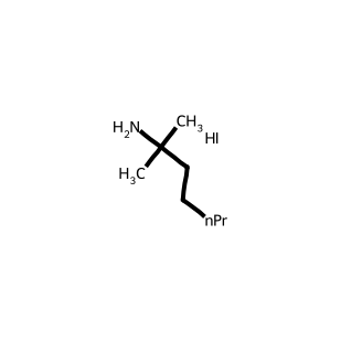 CCCCCC(C)(C)N.I